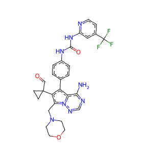 Nc1ncnn2c(CN3CCOCC3)c(C3(C=O)CC3)c(-c3ccc(NC(=O)Nc4cc(C(F)(F)F)ccn4)cc3)c12